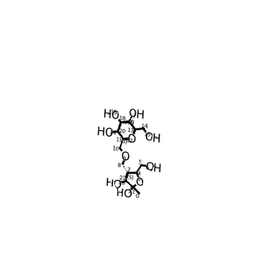 CC1(O)OC(CO)[C@@H](COC[C@@H]2OC(CO)[C@H](O)C(O)C2O)C1O